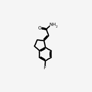 NC(=O)C=C1CCc2cc(F)ccc21